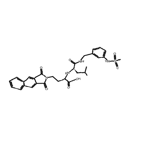 CC(C)C[C@@H](NC(CCN1C(=O)c2cc3ccccc3cc2C1=O)C(=O)O)C(=O)NCc1cccc(NS(C)(=O)=O)c1